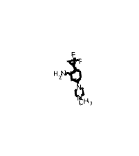 CN1CCN(c2ccc(C3CC3(F)F)c(N)c2)CC1